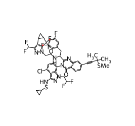 CSC(C)(C)C#Cc1ccc2c(=O)n(-c3ccc(Cl)c4c(NSC5CC5)nn(CC(F)F)c34)c(C(Cc3cc(F)cc(F)c3)NC(=O)Cn3nc(C(F)F)c4c3C(F)(F)C3CC43)nc2c1